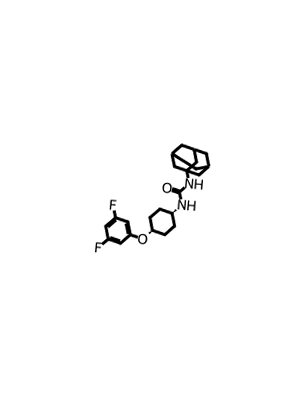 O=C(NC12CC3CC(CC(C3)C1)C2)N[C@H]1CC[C@@H](Oc2cc(F)cc(F)c2)CC1